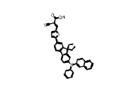 CCC1(CC)c2cc(-c3ccc(/C=C(\C#N)C(=O)O)s3)ccc2-c2ccc(N(c3ccccc3)c3ccc4ccccc4c3)cc21